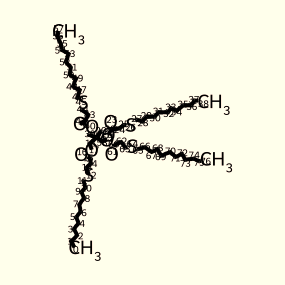 CCCCCCCCCCCCSCCC(=O)OCC(COC(=O)CCSCCCCCCCCCCCC)(COC(=O)CCSCCCCCCCCCCCC)COC(=O)CCSCCCCCCCCCCCC